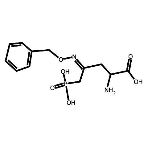 NC(C/C(CP(=O)(O)O)=N/OCc1ccccc1)C(=O)O